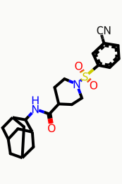 N#Cc1cccc(S(=O)(=O)N2CCC(C(=O)NC3C4CC5CC(C4)CC3C5)CC2)c1